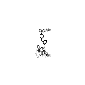 CCCCOc1nc(N)c2c(n1)N(Cc1cccc(CC3CCC(C(=O)OC)CC3)c1)CC(=O)N2